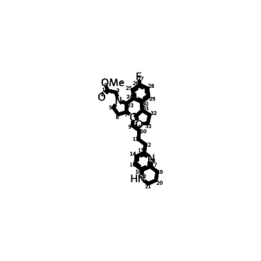 COC(=O)CN1CCC(OCCCCc2ccc3c(n2)CCCN3)C1c1cc(F)ccc1C1CCOC1